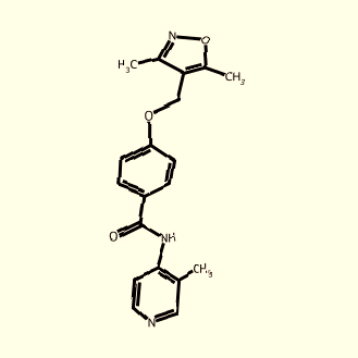 Cc1cnccc1NC(=O)c1ccc(OCc2c(C)noc2C)cc1